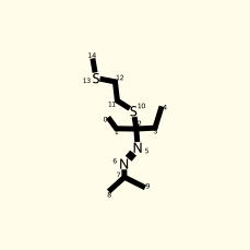 CCC(CC)(/N=N/C(C)C)SCCSC